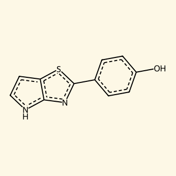 Oc1ccc(-c2nc3[nH]ccc3s2)cc1